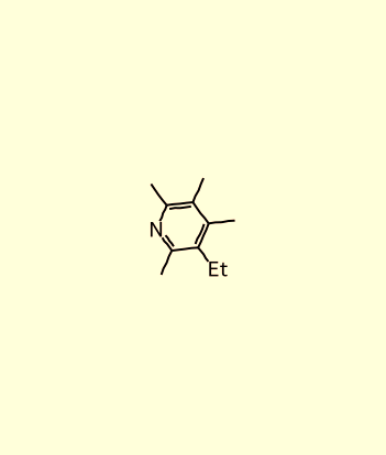 CCc1c(C)nc(C)c(C)c1C